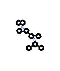 C1=c2c(n(-c3cc(-c4ccccc4)cc(-c4ccccc4)c3)c3ccccc23)=CCC1c1ccc2c(c1)c1ccccc1n2-c1cccc2ccccc12